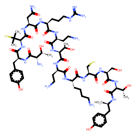 C[C@@H](O)[C@H](N)C(=O)N[C@@H](Cc1ccc(O)cc1)C(=O)N[C@H](C(=O)N[C@@H](CC(N)=O)C(=O)N[C@@H](CCCNC(=N)N)C(=O)N[C@@H](CCN)C(=O)N[C@H](C(=O)N[C@H](CCN)C(=O)N[C@@H](CCCCN)C(=O)N[C@@H](CS)C(=O)N[C@@H](CO)C(=O)N[C@H](C(=O)N[C@@H](Cc1ccc(O)cc1)C(=O)O)[C@@H](C)O)[C@@H](C)O)C(C)(C)S